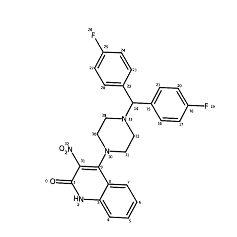 O=c1[nH]c2ccccc2c(N2CCN(C(c3ccc(F)cc3)c3ccc(F)cc3)CC2)c1[N+](=O)[O-]